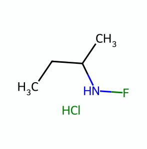 CCC(C)NF.Cl